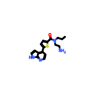 CCCN(CCN)C(=O)c1ccc(-c2ccnc3[nH]ccc23)s1